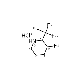 Cl.FC1CCCNC1C(F)(F)F